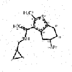 C=C(NCC1CC1)c1c(C)sc2c1CC(CCC)CC2